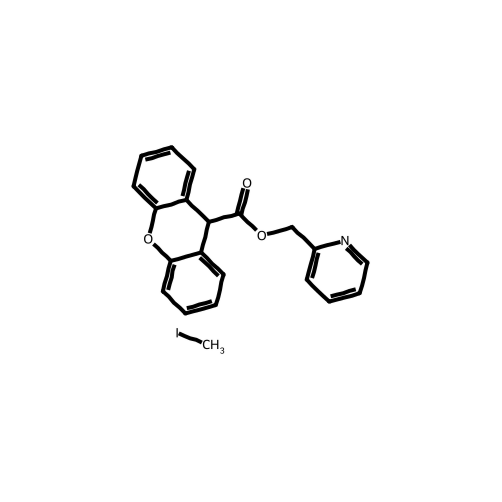 CI.O=C(OCc1ccccn1)C1c2ccccc2Oc2ccccc21